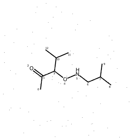 CC(=O)C(ONCC(C)C)C(C)C